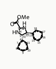 COC(=O)C1N[C@@H](c2ccccc2)[C@H](c2ccccc2)N1